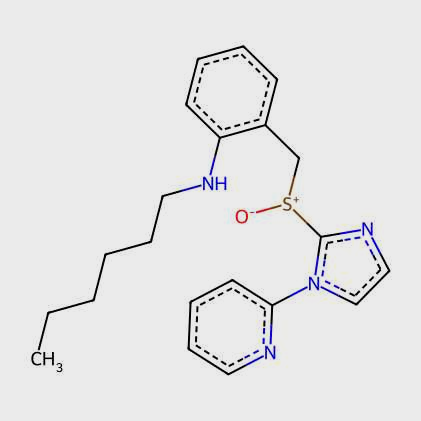 CCCCCCNc1ccccc1C[S+]([O-])c1nccn1-c1ccccn1